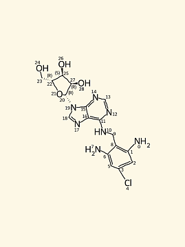 Nc1cc(Cl)cc(N)c1CNc1ncnc2c1ncn2[C@@H]1O[C@H](CO)[C@@H](O)[C@H]1O